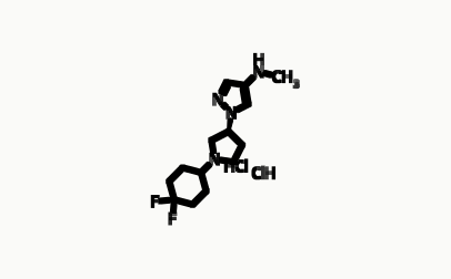 CNc1cnn([C@H]2CCN(C3CCC(F)(F)CC3)C2)c1.Cl.Cl